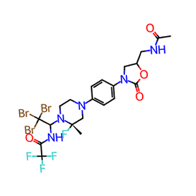 CC(=O)NCC1CN(c2ccc(N3CCN(C(NC(=O)C(F)(F)F)C(Br)(Br)Br)[C@@](C)(F)C3)cc2)C(=O)O1